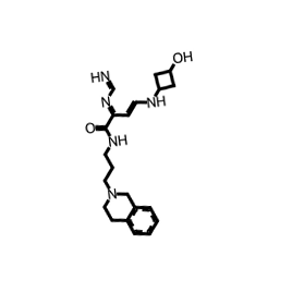 N=C/N=C(\C=C\NC1CC(O)C1)C(=O)NCCCN1CCc2ccccc2C1